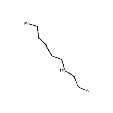 CC(C)CCCCCNCCI